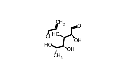 C=CCCl.C[C@H](O)[C@@H](O)[C@@H](O)[C@H](O)C=O